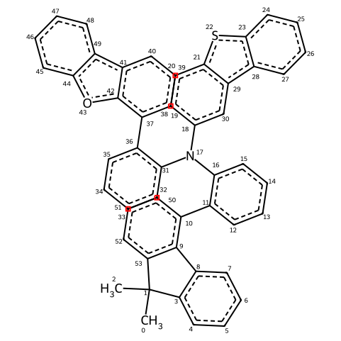 CC1(C)c2ccccc2-c2c(-c3ccccc3N(c3ccc4sc5ccccc5c4c3)c3ccccc3-c3cccc4c3oc3ccccc34)cccc21